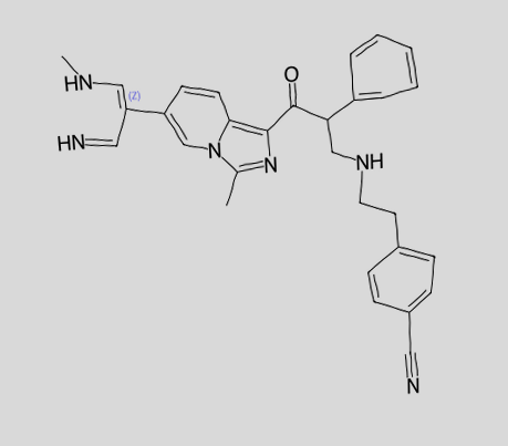 CN/C=C(\C=N)c1ccc2c(C(=O)C(CNCCc3ccc(C#N)cc3)c3ccccc3)nc(C)n2c1